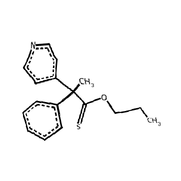 CCCOC(=S)C(C)(c1ccccc1)c1ccncc1